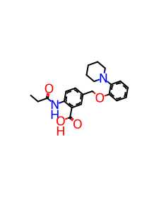 CCC(=O)Nc1ccc(COc2ccccc2N2CCCCC2)cc1C(=O)O